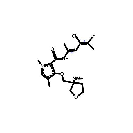 CNC1(COc2c(C)cn(C)c2C(=O)N/C(C)=C/C(Cl)=C(\C)F)CCOC1